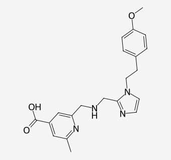 COc1ccc(CCn2ccnc2CNCc2cc(C(=O)O)cc(C)n2)cc1